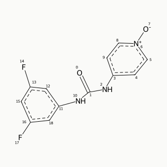 O=C(Nc1cc[n+]([O-])cc1)Nc1cc(F)cc(F)c1